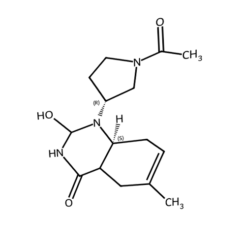 CC(=O)N1CC[C@@H](N2C(O)NC(=O)C3CC(C)=CC[C@@H]32)C1